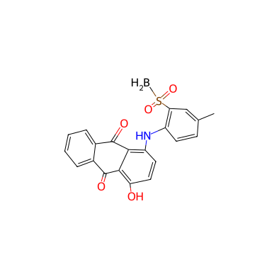 BS(=O)(=O)c1cc(C)ccc1Nc1ccc(O)c2c1C(=O)c1ccccc1C2=O